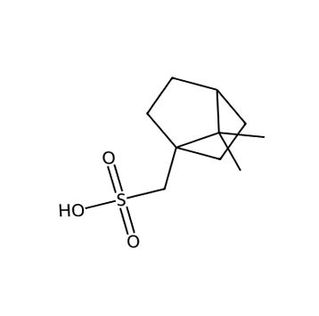 CC1(C)C2CCC1(CS(=O)(=O)O)CC2